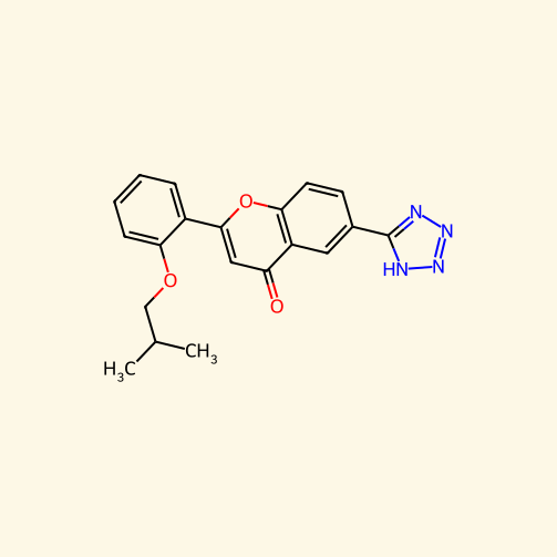 CC(C)COc1ccccc1-c1cc(=O)c2cc(-c3nnn[nH]3)ccc2o1